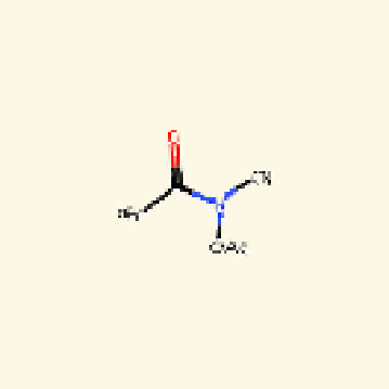 CCCC(=O)N(C#N)OC(C)=O